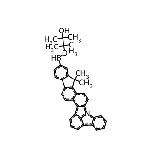 CC1(C)c2cc(BOC(C)(C)C(C)(C)O)ccc2-c2ccc3c(ccc4c3c3cccc5c6ccccc6n4c53)c21